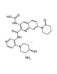 C[C@H]1CN(c2ccncc2NC(=O)c2nc3cc(N4CCCCC4=O)ccc3cc2NC(=O)O)C[C@@H](N)[C@@H]1O